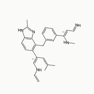 C=CN/C=C(\C=C(C)C)c1ccc2[nH]c(C)nc2c1Cc1cccc(/C(=C/C=N)NC)c1